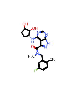 CN(Cc1cc(F)ccc1C(F)(F)F)C(=O)c1n[nH]c2ncnc(N[C@@H]3CC[C@@H](O)[C@H]3O)c12